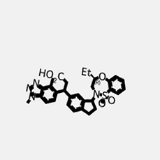 CC[C@@H]1CN(C2CCc3ccc(C(CC(=O)O)c4ccc5c(nnn5C)c4C)cc32)S(=O)(=O)c2ccccc2O1